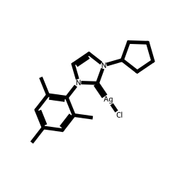 Cc1cc(C)c(-n2ccn(C3CCCC3)[c]2=[Ag][Cl])c(C)c1